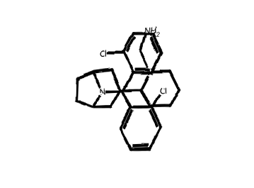 NCN1CCCCC1C1CC2CCC(C1)N2C(c1ccccc1Cl)c1ccccc1Cl